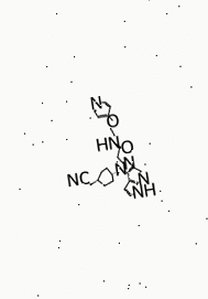 N#CC[C@H]1CC[C@H](n2c(CC(=O)NCCOc3ccncc3)nc3cnc4[nH]ccc4c32)CC1